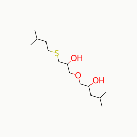 CC(C)CCSCC(O)COCC(O)CC(C)C